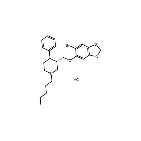 CCCCCN1CC[C@@H](c2ccccc2)[C@H](COc2cc3c(cc2Br)OCO3)C1.Cl